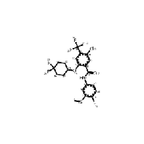 CSc1cc(NC(=O)c2cc(Cl)c(C(F)(F)F)cc2OC2CCC(F)(F)CC2)ccc1F